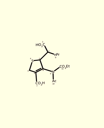 CCCC(C(=O)O)C1SCC(C(=O)O)=C1N(C(C)=O)C(=O)OCC